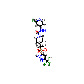 Cn1nc(C(F)(F)F)cc1S(=O)(=O)C(C)(C)C1CCN(C(=O)Nc2ccnc(F)c2)CC1